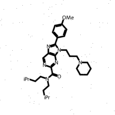 COc1ccc(-c2nc3cnc(C(=O)N(CCC(C)C)CCC(C)C)nc3n2CCCN2CCCCC2)cc1